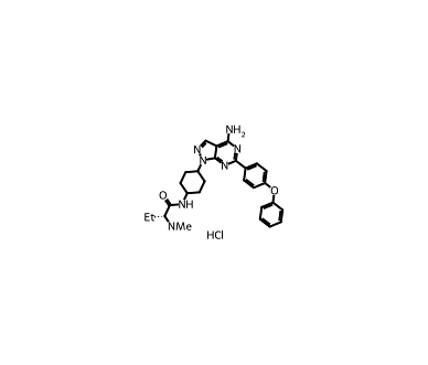 CC[C@@H](NC)C(=O)NC1CCC(n2ncc3c(N)nc(-c4ccc(Oc5ccccc5)cc4)nc32)CC1.Cl